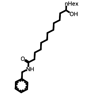 CCCCCCC(O)CCCCCCCCCCC(=O)NCc1ccccc1